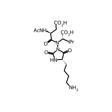 CC(=O)N[C@@H](CC(=O)O)C(=O)N([C@H](C(=O)O)C(C)C)N1C(=O)N[C@@H](CCCCN)C1=O